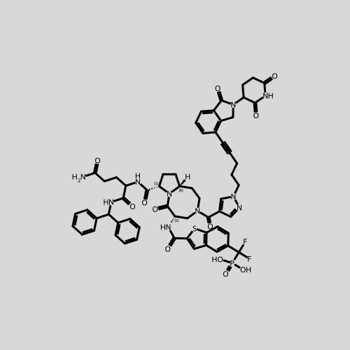 NC(=O)CCC(NC(=O)[C@@H]1CC[C@@H]2CCN(C(=O)c3cnn(CCCC#Cc4cccc5c4CN(C4CCC(=O)NC4=O)C5=O)c3)C[C@H](NC(=O)c3cc4cc(C(F)(F)P(=O)(O)O)ccc4s3)C(=O)N21)C(=O)NC(c1ccccc1)c1ccccc1